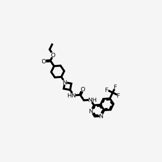 CCOC(=O)C1CCC(N2CC(NC(=O)CNc3ncnc4ccc(C(F)(F)F)cc34)C2)CC1